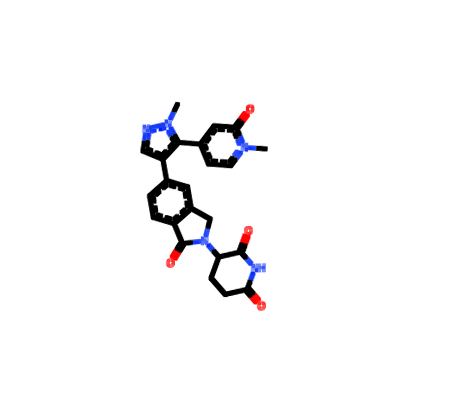 Cn1ncc(-c2ccc3c(c2)CN(C2CCC(=O)NC2=O)C3=O)c1-c1ccn(C)c(=O)c1